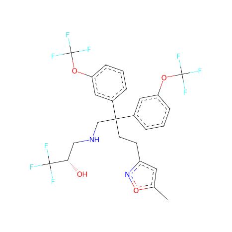 Cc1cc(CCC(CNC[C@H](O)C(F)(F)F)(c2cccc(OC(F)(F)F)c2)c2cccc(OC(F)(F)F)c2)no1